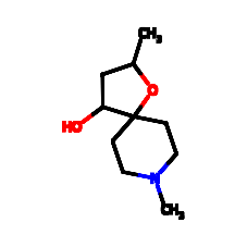 CC1CC(O)C2(CCN(C)CC2)O1